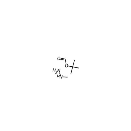 CC(C)(C)OC=O.CNN